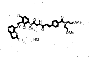 COCCN(CCOC)C(=O)c1ccc(C=CC(=O)NCC(=O)N(C)c2ccc(Cl)c(COc3cccc4ccc(C)nc34)c2Cl)cc1.Cl